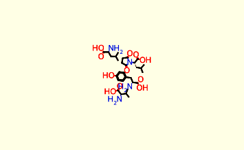 CC(C)C[C@@H](C(=O)O)N1C(=O)CCC1=O.CC(C)C[C@H](N)C(=O)O.CC(C)[C@H](N)C(=O)O.N[C@@H](Cc1ccc(O)cc1)C(=O)O